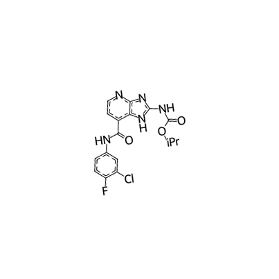 CC(C)OC(=O)Nc1nc2nccc(C(=O)Nc3ccc(F)c(Cl)c3)c2[nH]1